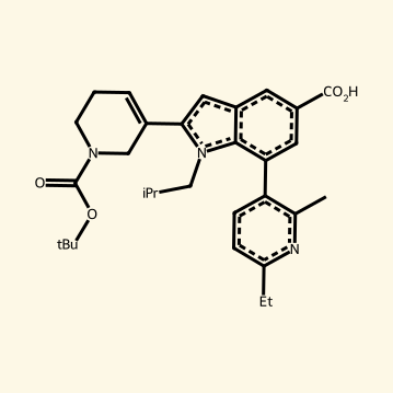 CCc1ccc(-c2cc(C(=O)O)cc3cc(C4=CCCN(C(=O)OC(C)(C)C)C4)n(CC(C)C)c23)c(C)n1